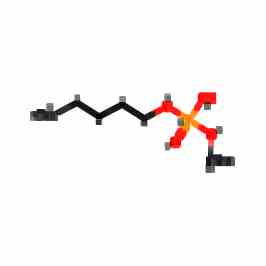 CCCCCCCCCCCCCCOP(=O)(O)OCCCCCCCCC